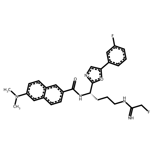 CN(C)c1ccc2cc(C(=O)N[C@@H](CCCNC(=N)CF)c3ncc(-c4cccc(F)c4)o3)ccc2c1